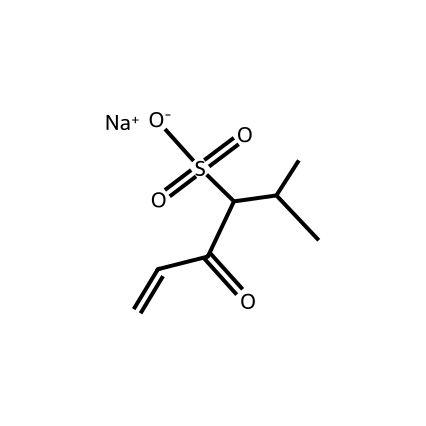 C=CC(=O)C(C(C)C)S(=O)(=O)[O-].[Na+]